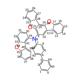 c1ccc(-c2ccc(N(c3cc4c5ccccc5oc4c4c3oc3ccccc34)c3cccc4oc5ccccc5c34)cc2)cc1